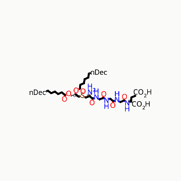 CCCCCCCCCCCCCCCC(=O)OC[C@@H](CSC[C@H](N)C(=O)NCC(=O)NCC(=O)NCC(=O)N[C@@H](CCC(=O)O)C(=O)O)OC(=O)CCCCCCCCCCCCCCC